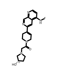 O=C(CN1CC[C@H](O)C1)N1CC=C(c2cc3c(NF)ccnc3cn2)CC1